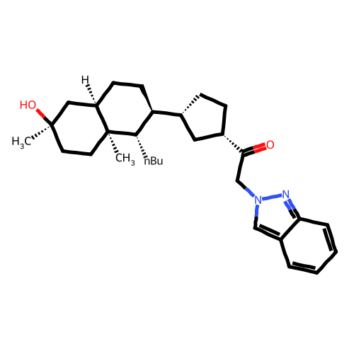 CCCC[C@H]1[C@H]([C@@H]2CC[C@H](C(=O)Cn3cc4ccccc4n3)C2)CC[C@@H]2C[C@](C)(O)CC[C@@]21C